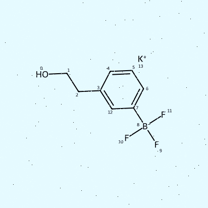 OCCc1cccc([B-](F)(F)F)c1.[K+]